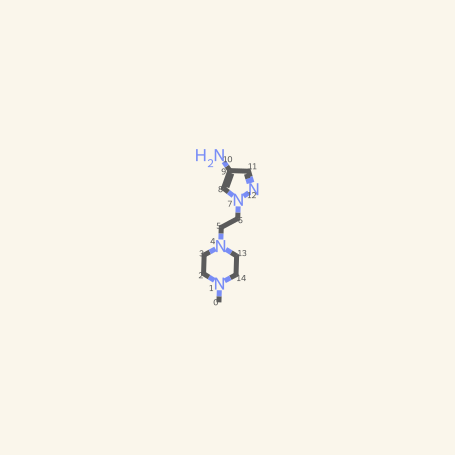 CN1CCN(CCn2cc(N)cn2)CC1